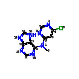 CN(c1cc(Cl)ncn1)c1ncnc2nc[nH]c12